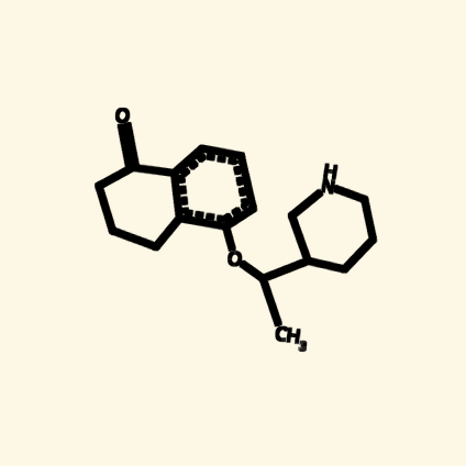 CC(Oc1cccc2c1CCCC2=O)C1CCCNC1